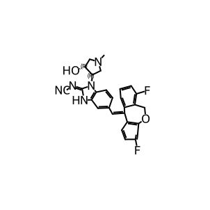 CN1C[C@@H](O)[C@H](n2c(=NC#N)[nH]c3cc(C=C4c5ccc(F)cc5OCc5c(F)cccc54)ccc32)C1